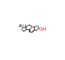 CC(=O)C1CCC2C3=CC=C4CC(O)CCC4(C)C3CCC12C